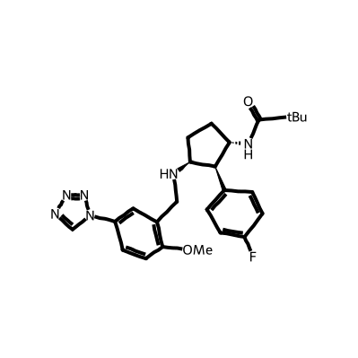 COc1ccc(-n2cnnn2)cc1CN[C@H]1CC[C@H](NC(=O)C(C)(C)C)[C@H]1c1ccc(F)cc1